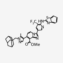 COC(=O)c1c(-c2cnn(CC34CC5CC(CC(C5)C3)C4)c2C)ccn2c(-c3cnc(Nc4nc5ccccc5s4)c(C(F)(F)F)c3)cnc12